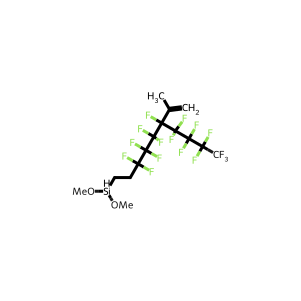 C=C(C)C(F)(C(F)(F)C(F)(F)C(F)(F)CC[SiH](OC)OC)C(F)(F)C(F)(F)C(F)(F)C(F)(F)F